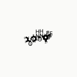 CCC(C)C(=O)N1CCC(NC(=O)Nc2cc(C)cc(C(F)(F)F)c2)CC1